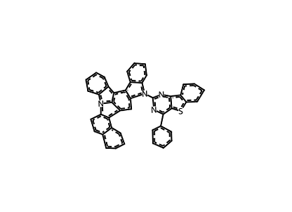 c1ccc(-c2nc(-n3c4ccccc4c4c5c6ccccc6n6c7ccc8ccccc8c7c(cc43)c56)nc3c2sc2ccccc23)cc1